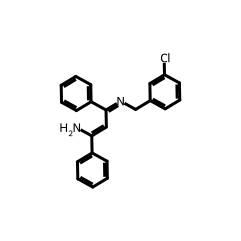 N/C(=C\C(=N/Cc1cccc(Cl)c1)c1ccccc1)c1ccccc1